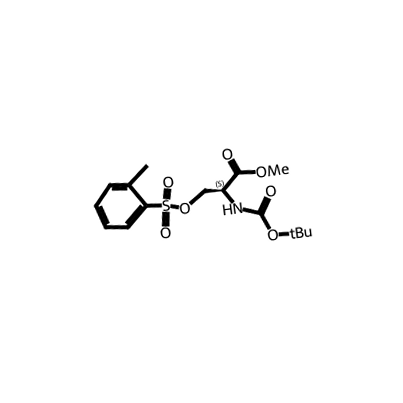 COC(=O)[C@H](COS(=O)(=O)c1ccccc1C)NC(=O)OC(C)(C)C